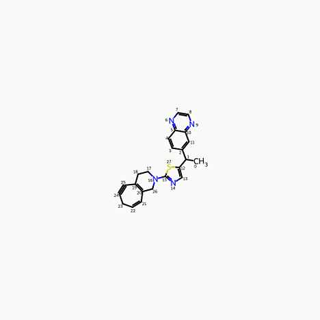 CC(c1ccc2nccnc2c1)c1cnc(N2CCC3=C(C=CCC#C3)C2)s1